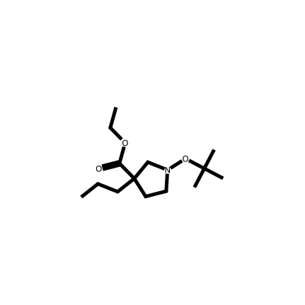 CCCC1(C(=O)OCC)CCN(OC(C)(C)C)C1